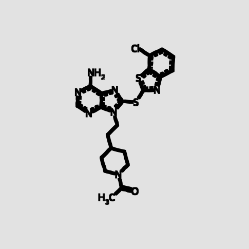 CC(=O)N1CCC(CCn2c(Sc3nc4cccc(Cl)c4s3)nc3c(N)ncnc32)CC1